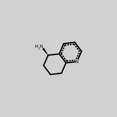 N[C@@H]1CCCc2ncccc21